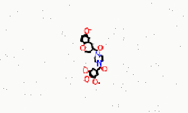 COc1ccc2c(c1)C=C(C(=O)N1CCN(C(=O)c3cc(OC)c(OC)c(OC)c3)CC1)CCO2